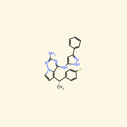 C[C@@H](c1ccc(F)cc1)c1ccn2nc(N)nc(Nc3cc(-c4ccccc4)n[nH]3)c12